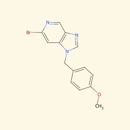 COc1ccc(Cn2cnc3cnc(Br)cc32)cc1